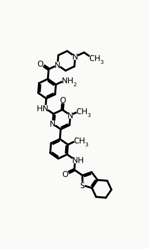 CCN1CCN(C(=O)c2ccc(Nc3nc(-c4cccc(NC(=O)c5cc6c(s5)CCCC6)c4C)cn(C)c3=O)cc2N)CC1